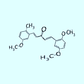 COc1ccc(C)c(/C=C/C(=O)/C=C/c2cc(OC)ccc2OC)c1